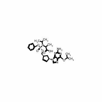 CC(C)Oc1nc(N)nc2c1ncn2[C@H]1C=C[C@@H](CO[P@@](=O)(Oc2ccccc2)N(C(C)C)C(C)C(=O)O)C1